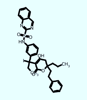 CCCC1(CCc2ccccc2)CC(O)=C(C(I)(CC)c2cccc(NS(=O)(=O)c3ncc4ccccc4n3)c2)C(=O)O1